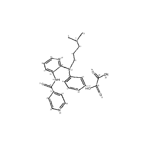 CN(C)CCCN(c1ccccc1)c1ncccc1NC(=O)c1ccncc1.O=C(O)C(=O)O